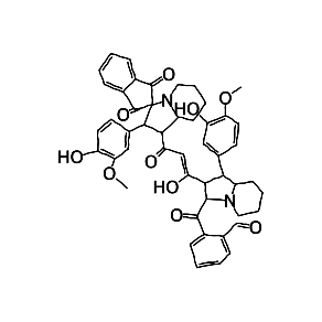 COc1ccc(C2C(/C(O)=C/C(=O)C3C4CCCCN4C4(C(=O)c5ccccc5C4=O)C3c3ccc(O)c(OC)c3)C(C(=O)c3ccccc3C=O)N3CCCCC23)cc1O